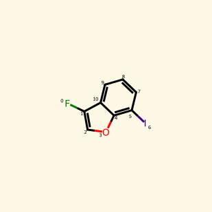 Fc1coc2c(I)cccc12